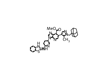 COC(=O)c1c(-c2cnn(CC34CC5CC(CC(C5)C3)C4)c2C)cnc2c1ncn2-c1ccc(N[SH]2Nc3ccccc3S2)nc1